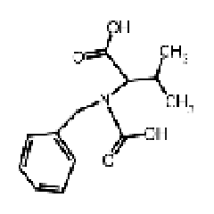 CC(C)C(C(=O)O)N(Cc1ccccc1)C(=O)O